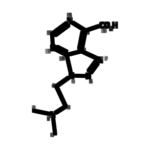 CN(C)CCn1nnc2c(C(=O)O)ncnc21